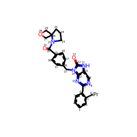 CC(C)c1ccccc1-c1ncc2[nH]c(=O)n(Cc3ccc(C(=O)N4CCCC45COC5)cc3)c2n1